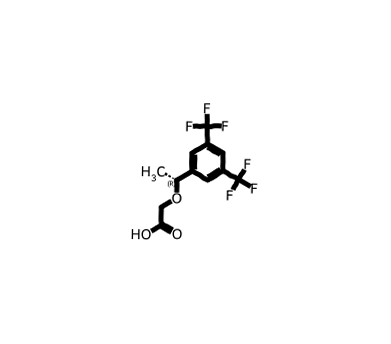 C[C@@H](OCC(=O)O)c1cc(C(F)(F)F)cc(C(F)(F)F)c1